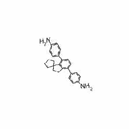 Nc1ccc(-c2ccc(-c3ccc(N)cc3)c3c2CCC32CCCC2)cc1